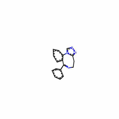 c1ccc(/C2=N/CCc3nncn3-c3ccccc32)cc1